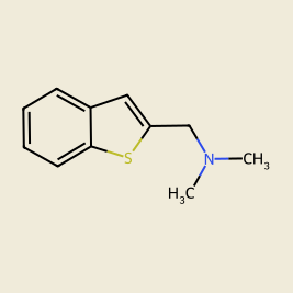 CN(C)Cc1cc2ccccc2s1